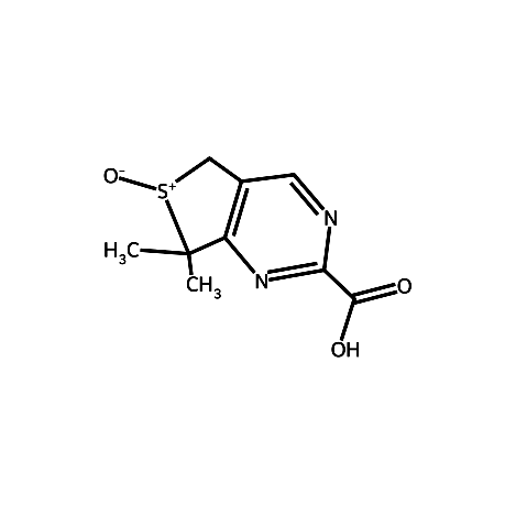 CC1(C)c2nc(C(=O)O)ncc2C[S+]1[O-]